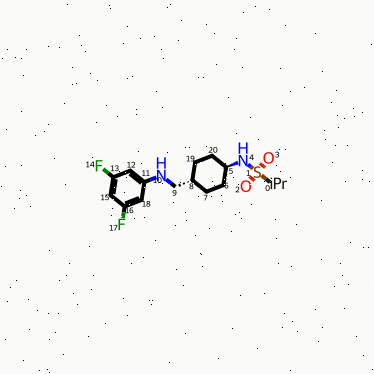 CC(C)S(=O)(=O)N[C@H]1CC[C@H](CNc2cc(F)cc(F)c2)CC1